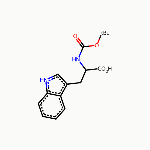 CC(C)(C)OC(=O)NC(Cc1c[nH]c2ccccc12)C(=O)O